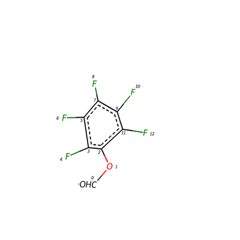 O=[C]Oc1c(F)c(F)c(F)c(F)c1F